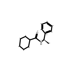 C[C@@H](NC(=O)C1CCCCC1)c1ccccc1